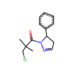 CC(C)(CCl)C(=O)N1N=CCC1c1ccccc1